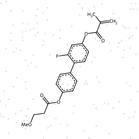 C=C(C)C(=O)Oc1ccc(-c2ccc(OC(=O)CCOC)cc2)c(F)c1